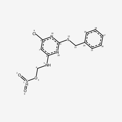 O=[SH](=O)OCNc1cc(Cl)nc(SCc2ccccc2)n1